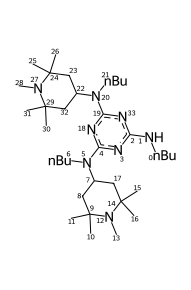 CCCCNc1nc(N(CCCC)C2CC(C)(C)N(C)C(C)(C)C2)nc(N(CCCC)C2CC(C)(C)N(C)C(C)(C)C2)n1